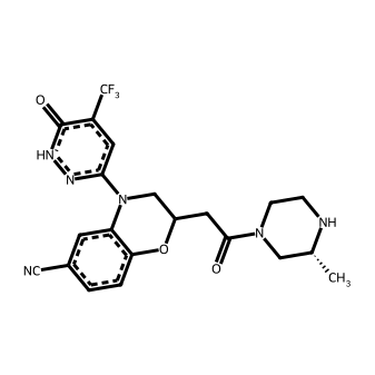 C[C@@H]1CN(C(=O)CC2CN(c3cc(C(F)(F)F)c(=O)[nH]n3)c3cc(C#N)ccc3O2)CCN1